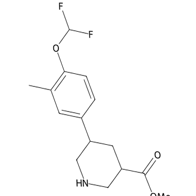 COC(=O)C1CNCC(c2ccc(OC(F)F)c(C)c2)C1